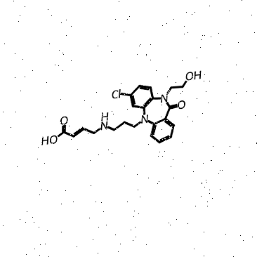 O=C(O)/C=C/CNCCCN1c2ccccc2C(=O)N(CCO)c2ccc(Cl)cc21